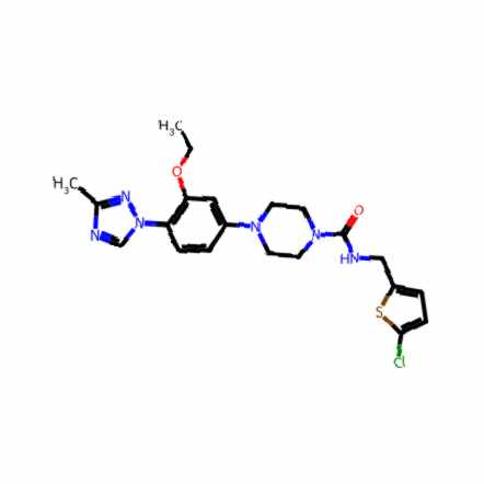 CCOc1cc(N2CCN(C(=O)NCc3ccc(Cl)s3)CC2)ccc1-n1cnc(C)n1